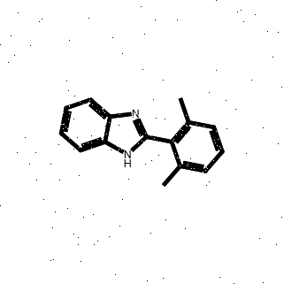 Cc1cccc(C)c1-c1nc2ccccc2[nH]1